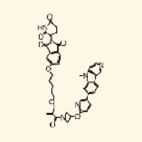 C=C(COCCCCCOc1ccc2c(c1)C(=O)N(C1CCC(=O)NC1=O)C2=O)C(=O)N1CC(Oc2ccc(-c3ccc4c5cnccc5n(C)c4c3)cn2)C1